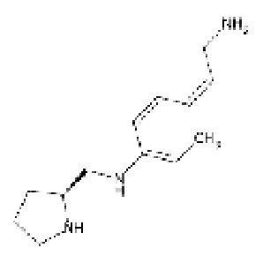 C\C=C(/C=C\C=C/CN)NC[C@@H]1CCCN1